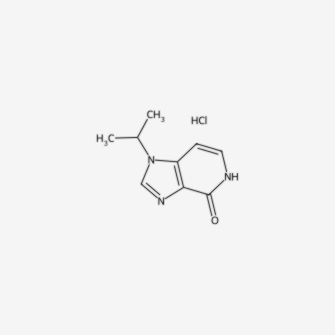 CC(C)n1cnc2c(=O)[nH]ccc21.Cl